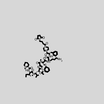 CC[C@H](C)[C@H](NC(=O)[C@H]1CCCCN1C)C(=O)N(C)[C@H](C[C@@H](OC(C)=O)c1nc(C(=O)N(C)[C@@H](CSc2ccccc2)C(=O)N[C@H](CCCCN)C(=O)N[C@@H](Cc2ccccc2)C(=O)N2CCN(C(=O)CCCN3C(=O)C=CC3=O)CC2)cs1)C(C)C